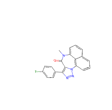 Cn1c(=O)c2c(-c3ccc(F)cc3)nnn2c2cccc3cccc1c32